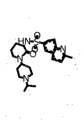 Cc1ccc2cc(S(=O)(=O)N[C@H]3CCCN(C4CCN(C(C)C)CC4)C3=O)ccc2n1